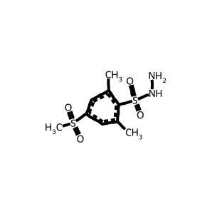 Cc1cc(S(C)(=O)=O)cc(C)c1S(=O)(=O)NN